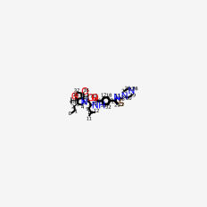 CCC[C@@H]1CN(C(=O)C(CC(C)C)NC(=O)c2ccc(-c3csc(N4CCN(C)CC4)n3)cc2)[C@@H]2C(=O)CO[C@H]12